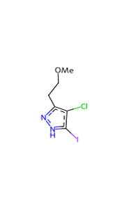 COCCc1n[nH]c(I)c1Cl